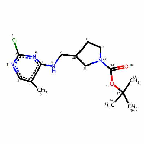 Cc1cnc(Cl)nc1NCC1CCN(C(=O)OC(C)(C)C)C1